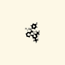 CN(C(=O)C1CCCCN1c1cc(C(F)(F)F)cc(C(F)(F)F)n1)c1ccc(F)cc1